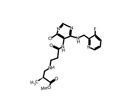 COC(=O)[C@@H](C)CNCCC(=O)Nc1c(Cl)ncnc1NCc1ncccc1F